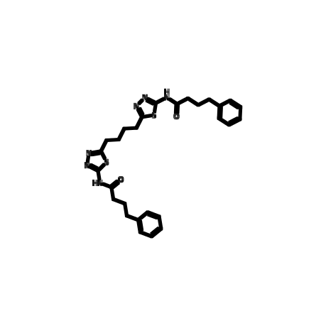 O=C(CCCc1ccccc1)Nc1nnc(CCCCc2nnc(NC(=O)CCCc3ccccc3)s2)s1